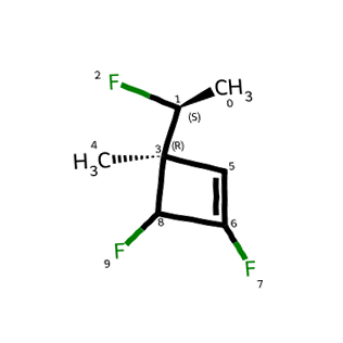 C[C@H](F)[C@@]1(C)C=C(F)C1F